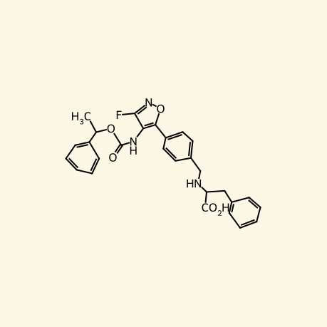 CC(OC(=O)Nc1c(F)noc1-c1ccc(CNC(Cc2ccccc2)C(=O)O)cc1)c1ccccc1